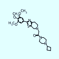 COc1cc(-c2nc3c(s2)CN(CC(=O)N2CCN(C4CCC4)CC2)CC3)cc(OC)c1OC